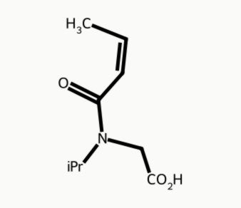 C/C=C\C(=O)N(CC(=O)O)C(C)C